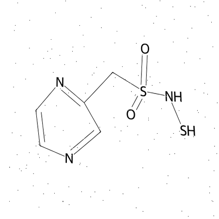 O=S(=O)(Cc1cnccn1)NS